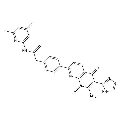 CCn1c(N)c(-c2ncc[nH]2)c(=O)c2ccc(-c3ccc(CC(=O)Nc4cc(C)cc(C)n4)cc3)nc21